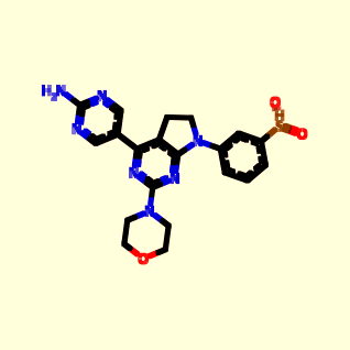 Nc1ncc(-c2nc(N3CCOCC3)nc3c2CCN3c2cccc([SH](=O)=O)c2)cn1